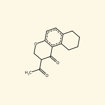 CC(=O)C1COc2ccc3c(c2C1=O)CCCC3